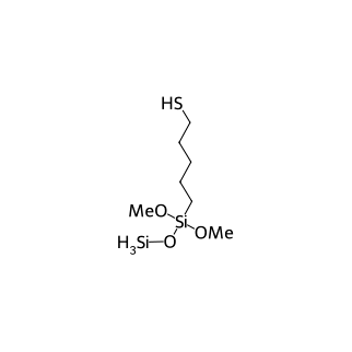 CO[Si](CCCCCS)(OC)O[SiH3]